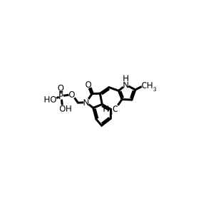 Cc1cc(C)c(C=C2C(=O)N(COP(=O)(O)O)c3ccccc32)[nH]1